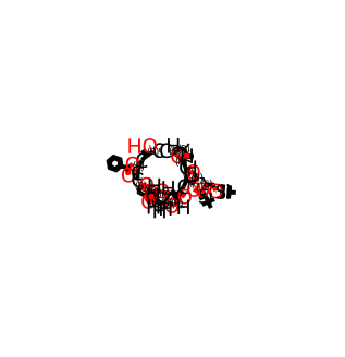 C=C1C[C@@H](OC(=O)c2ccccc2)CC[C@@]23CC4O[C@H]5[C@@H](O2)[C@H]2O[C@H](CC[C@@H]2O[C@H]5[C@H]4O3)CC(=O)CC2[C@H](C[C@H]3O[C@@H](CC[C@H]1O)C[C@@H](C)C3=C)O[C@H](C[C@@H](CO[Si](C)(C)C(C)(C)C)O[Si](C)(C)C(C)(C)C)[C@@H]2OC